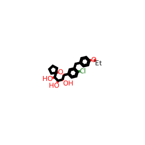 CCOc1ccc(Cc2cc(C3OC4(CCCC4)C(O)C(O)C3O)ccc2Cl)cc1